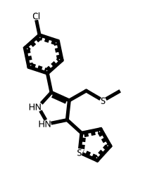 CSCC1=C(c2ccc(Cl)cc2)NNC1c1cccs1